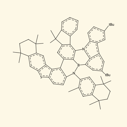 Cc1cc2c(cc1N1B3c4c(cc5c(c4-n4c6ccc(C(C)(C)C)cc6c6cc(C(C)(C)C)cc3c64)-c3ccccc3C5(C)C)-c3c1ccc1sc4cc5c(cc4c31)C(C)(C)CCC5(C)C)C(C)(C)CCC2(C)C